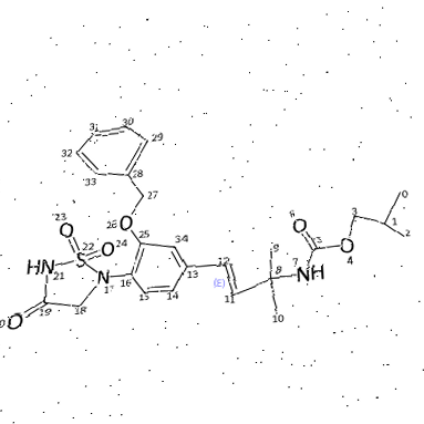 CC(C)COC(=O)NC(C)(C)/C=C/c1ccc(N2CC(=O)NS2(=O)=O)c(OCc2ccccc2)c1